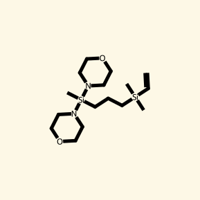 C=C[Si](C)(C)CCC[Si](C)(N1CCOCC1)N1CCOCC1